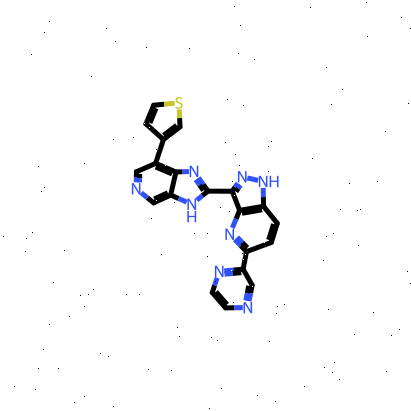 c1cnc(-c2ccc3[nH]nc(-c4nc5c(-c6ccsc6)cncc5[nH]4)c3n2)cn1